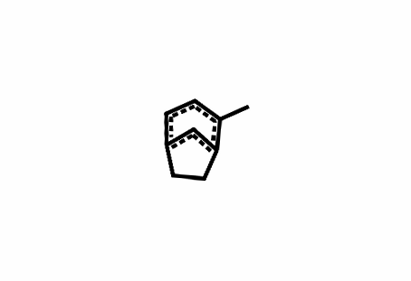 Cc1ccc2cc1CC2